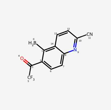 Bc1c(C(=O)C(F)(F)F)ccc2nc(C#N)ccc12